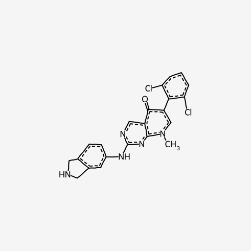 Cn1cc(-c2c(Cl)cccc2Cl)c(=O)c2cnc(Nc3ccc4c(c3)CNC4)nc21